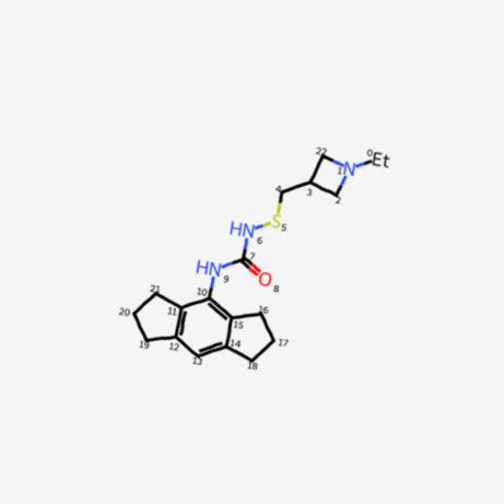 CCN1CC(CSNC(=O)Nc2c3c(cc4c2CCC4)CCC3)C1